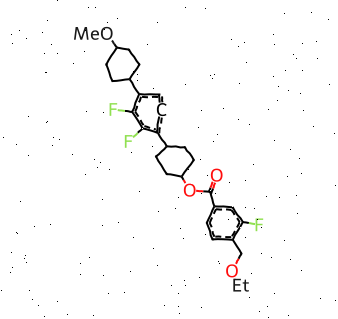 CCOCc1ccc(C(=O)OC2CCC(c3ccc(C4CCC(OC)CC4)c(F)c3F)CC2)cc1F